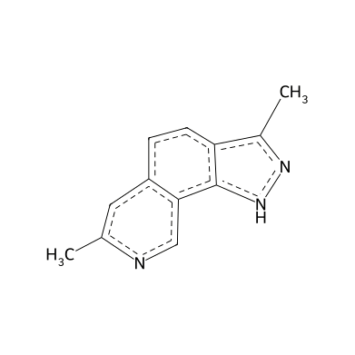 Cc1cc2ccc3c(C)n[nH]c3c2cn1